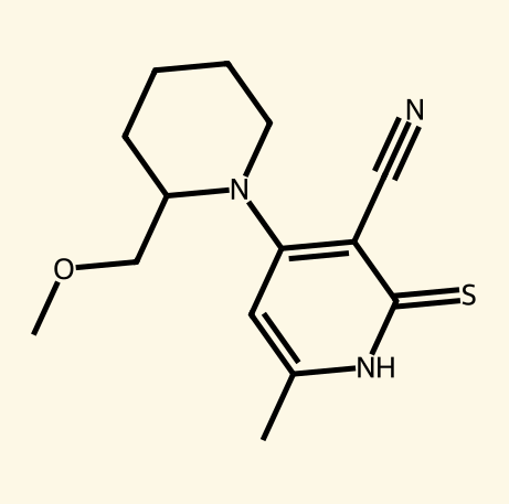 COCC1CCCCN1c1cc(C)[nH]c(=S)c1C#N